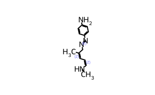 CN/C=C\C=C(\C)C/N=N/c1ccc(N)cc1